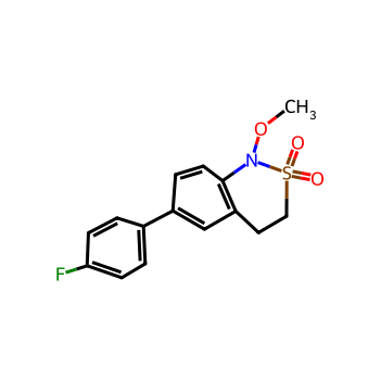 CON1c2ccc(-c3ccc(F)cc3)cc2CCS1(=O)=O